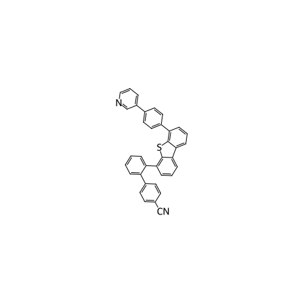 N#Cc1ccc(-c2ccccc2-c2cccc3c2sc2c(-c4ccc(-c5cccnc5)cc4)cccc23)cc1